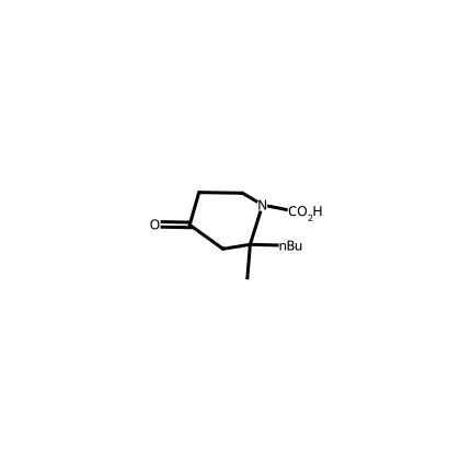 CCCCC1(C)CC(=O)CCN1C(=O)O